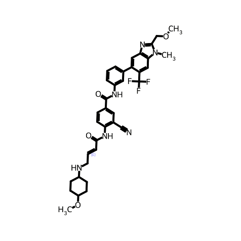 COCc1nc2cc(-c3cccc(NC(=O)c4ccc(NC(=O)/C=C/CNC5CCC(OC)CC5)c(C#N)c4)c3)c(C(F)(F)F)cc2n1C